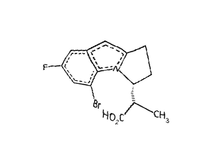 CC(C(=O)O)[C@H]1CCc2cc3cc(F)cc(Br)c3n21